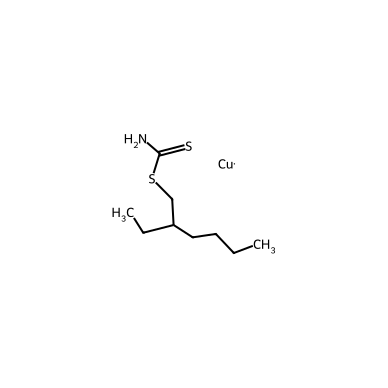 CCCCC(CC)CSC(N)=S.[Cu]